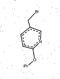 CC(C)Oc1ccc(CBr)cn1